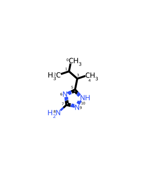 CC(C)C(C)c1nc(N)n[nH]1